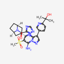 CC(C)(O)c1ccc(-c2cnn3c(N)c(S(C)(=O)=O)c([C@@H]4C[C@H]5CC[C@@H](C4)N5C(=O)c4ncn[nH]4)nc23)cn1